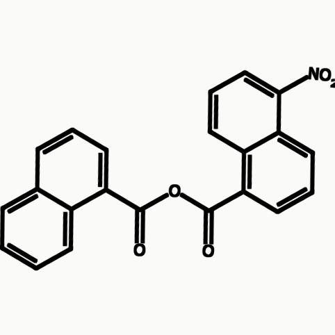 O=C(OC(=O)c1cccc2c([N+](=O)[O-])cccc12)c1cccc2ccccc12